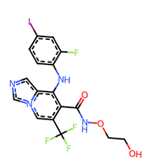 O=C(NOCCO)c1c(C(F)(F)F)cn2cncc2c1Nc1ccc(I)cc1F